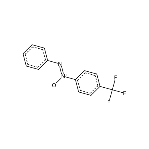 [O-][N+](=Nc1ccccc1)c1ccc(C(F)(F)F)cc1